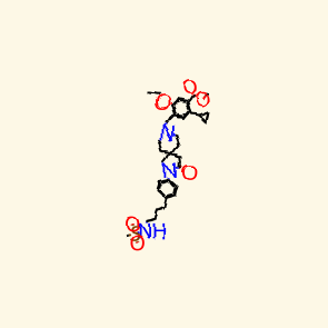 CCOc1cc(C(=O)OC)c(C2CC2)cc1CN1CCC2(CC1)CC(=O)N(c1ccc(CCCCNS(C)(=O)=O)cc1)C2